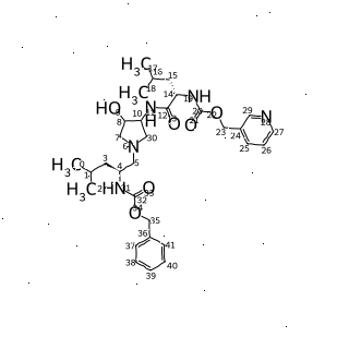 CC(C)C[C@@H](CN1CC(O)C(NC(=O)[C@H](CC(C)C)NC(=O)OCc2cccnc2)C1)NC(=O)OCc1ccccc1